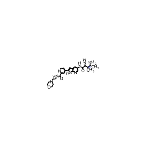 C/C(N)=C(\C)C(=N)C(=O)Nc1cnc2[nH]c(-c3ccnc(C(=O)NCCN4CCOCC4)c3)cc2c1